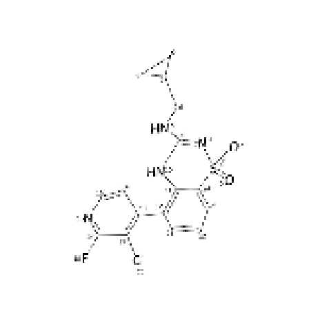 O=S1(=O)N=C(NCC2CC2)Nc2c(-c3ccnc(F)c3Cl)cccc21